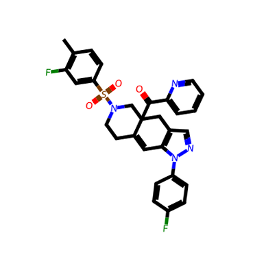 Cc1ccc(S(=O)(=O)N2CCC3=Cc4c(cnn4-c4ccc(F)cc4)CC3(C(=O)c3ccccn3)C2)cc1F